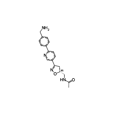 CC(=O)NC[C@H]1CC(c2ccc(-c3ccc(CN)cc3)nc2)=NO1